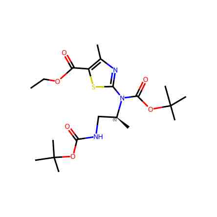 CCOC(=O)c1sc(N(C(=O)OC(C)(C)C)[C@@H](C)CNC(=O)OC(C)(C)C)nc1C